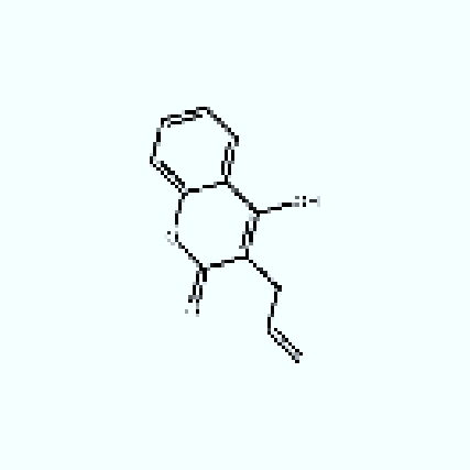 C=CCc1c(O)c2ccccc2oc1=O